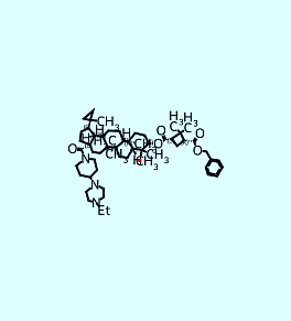 CCN1CCN(C2CCN(C(=O)[C@]34CC[C@@H](C5(C)CC5)[C@@H]3[C@H]3CC[C@@H]5[C@@]6(C)CC[C@H](OC(=O)[C@H]7C[C@@H](C(=O)OCc8ccccc8)C7(C)C)C(C)(C)[C@@H]6CC[C@@]5(C)[C@]3(C)CC4)CC2)CC1